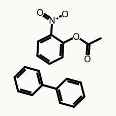 CC(=O)Oc1ccccc1[N+](=O)[O-].c1ccc(-c2ccccc2)cc1